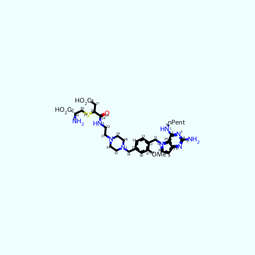 CCCCCNc1nc(N)nc2ccn(Cc3ccc(CN4CCN(CCNC(=O)C(CC(=O)O)SC[C@H](N)C(=O)O)CC4)cc3OC)c12